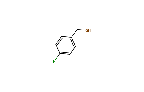 Fc1ccc(CS)cc1